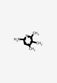 [CH2]c1c(C)cc(N)nc1C